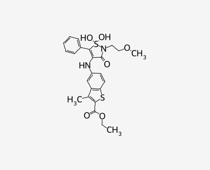 CCOC(=O)c1sc2ccc(NC3=C(c4ccccc4)S(O)(O)N(CCOC)C3=O)cc2c1C